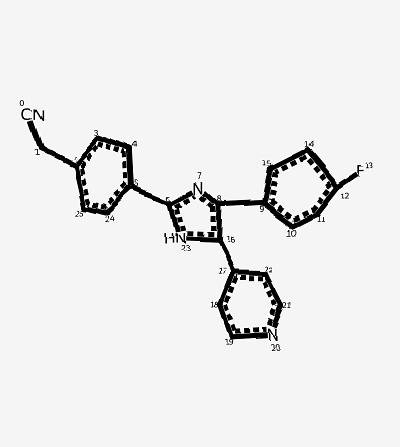 N#CCc1ccc(-c2nc(-c3ccc(F)cc3)c(-c3ccncc3)[nH]2)cc1